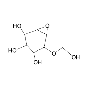 OCOC1C(O)C(O)C(O)C2OC12